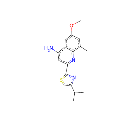 COc1cc(C)c2nc(-c3nc(C(C)C)cs3)cc(N)c2c1